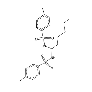 CCCCCC(NS(=O)(=O)c1ccc(C)cc1)NS(=O)(=O)c1ccc(C)cc1